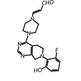 O=CC=CN1CCN(c2ncnc3c2CCN(c2c(O)cccc2F)C3)CC1